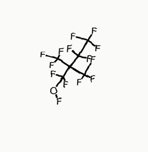 FOC(F)(F)C(C(F)(F)F)(C(F)(F)F)C(F)(F)C(F)(F)F